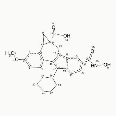 COc1ccc2c(c1)C1C[C@@]1(C(=O)O)Cn1c-2c(C2CCCCC2)c2ccc(C(=O)NO)cc21